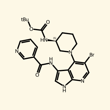 CC(C)(C)OC(=O)N[C@H]1CCCN(c2c(Br)cnc3[nH]cc(NC(=O)c4cccnc4)c23)C1